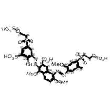 CNc1ccc2c(OC)c(/N=N/c3cc(S(=O)(=O)CCOS(=O)(=O)O)cc(S(=O)(=O)O)c3O)c(S(=O)(=O)O)cc2c1/N=N/c1cc(C)c(S(=O)(=O)CCOS(=O)(=O)O)cc1OC